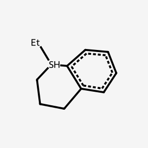 [CH2]C[SH]1CCCc2ccccc21